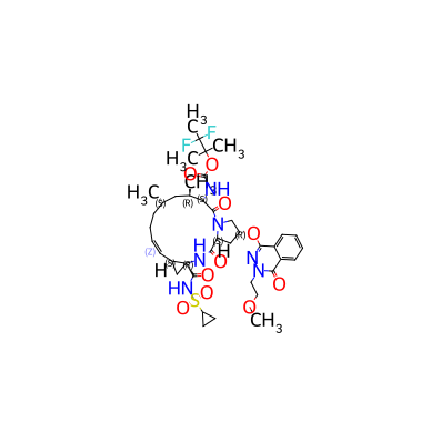 COCCn1nc(O[C@@H]2C[C@H]3C(=O)N[C@]4(C(=O)NS(=O)(=O)C5CC5)C[C@H]4/C=C\CC[C@H](C)C[C@@H](C)[C@H](NC(=O)OC(C)(C)C(C)(F)F)C(=O)N3C2)c2ccccc2c1=O